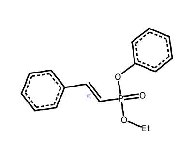 CCOP(=O)(/C=C/c1ccccc1)Oc1ccccc1